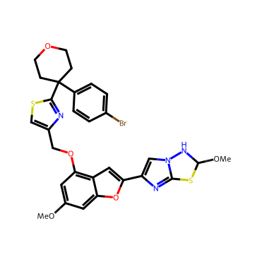 COc1cc(OCc2csc(C3(c4ccc(Br)cc4)CCOCC3)n2)c2cc(-c3cn4c(n3)SC(OC)N4)oc2c1